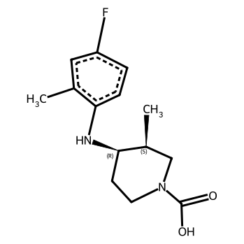 Cc1cc(F)ccc1N[C@@H]1CCN(C(=O)O)C[C@@H]1C